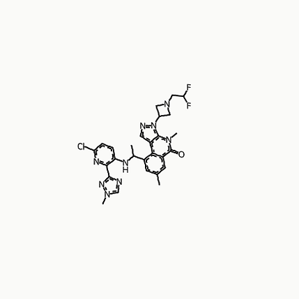 Cc1cc(C(C)Nc2ccc(Cl)nc2-c2ncn(C)n2)c2c(c1)c(=O)n(C)c1c2cnn1C1CN(CC(F)F)C1